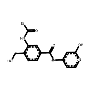 CCC(=O)Nc1cc(C(=O)Nc2ccnc(O)c2)ccc1CO